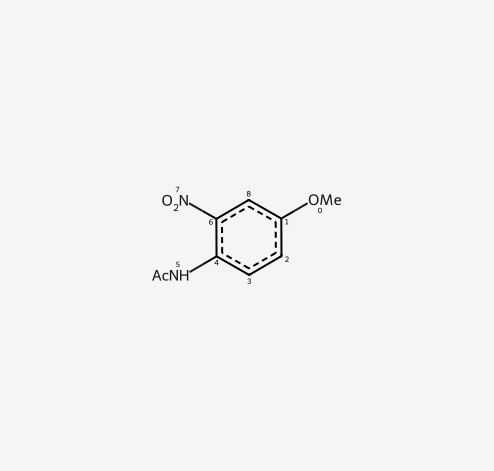 COc1ccc(NC(C)=O)c([N+](=O)[O-])c1